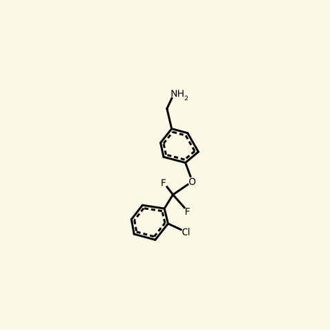 NCc1ccc(OC(F)(F)c2ccccc2Cl)cc1